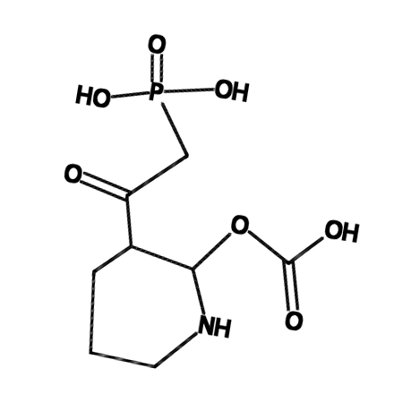 O=C(O)OC1NCCCC1C(=O)CP(=O)(O)O